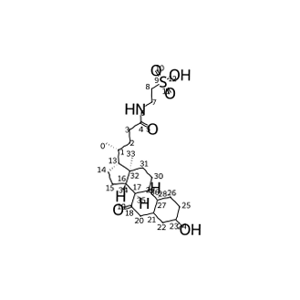 C[C@H](CCC(=O)NCCS(=O)(=O)O)[C@H]1CC[C@H]2[C@@H]3C(=O)CC4CC(O)CC[C@]4(C)[C@H]3CC[C@]12C